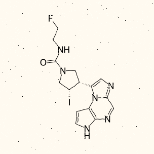 O=C(NCCF)N1C[C@@H](I)[C@@H](c2cnc3cnc4[nH]ccc4n23)C1